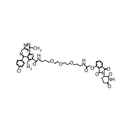 Cc1c(C(=O)NCCCOCCOCCOCCCNC(=O)COc2cccc3c2C(=O)N(C2CCC(=O)NC2=O)C3=O)sc2c1C(c1ccc(Cl)cc1)=NCc1nnc(C)n1-2